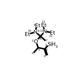 C=C([SiH3])C(C)OC(C)(N(CC)CC)N(CC)CC